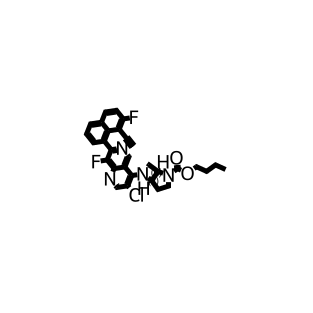 C#Cc1c(F)ccc2cccc(-c3ncc4c(N5C[C@@H]6[C@H]5CCN6C(=O)OCCCC)c(Cl)cnc4c3F)c12